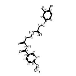 C=C(CCNC(=O)COc1ccc(C)c(C)c1)NC(=O)c1ccc(OC(F)(F)F)nc1